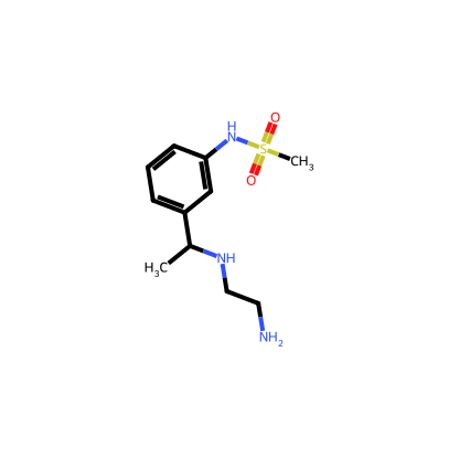 CC(NCCN)c1cccc(NS(C)(=O)=O)c1